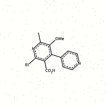 CCc1nc(C)c(OC)c(-c2ccncc2)c1C(=O)O